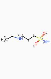 CCNCCCS([NH])(=O)=O